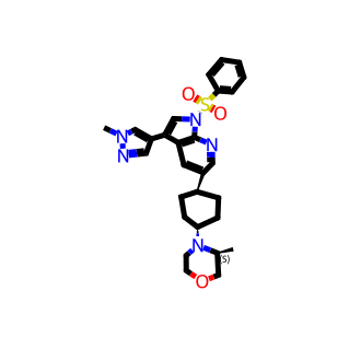 C[C@H]1COCCN1[C@H]1CC[C@H](c2cnc3c(c2)c(-c2cnn(C)c2)cn3S(=O)(=O)c2ccccc2)CC1